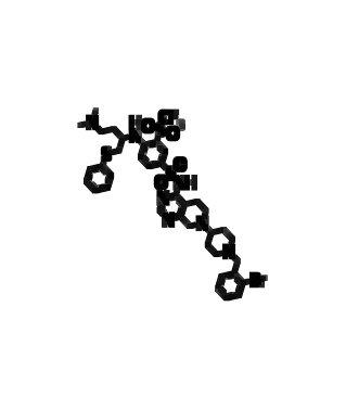 CN(C)CCC(CSc1ccccc1)Nc1ccc(S(=O)(=O)Nc2ncnc3c2CCN(C2CCN(Cc4ccccc4Br)CC2)C3)cc1S(=O)(=O)C(F)(F)F